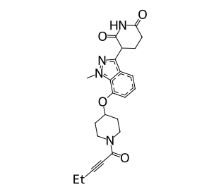 CCC#CC(=O)N1CCC(Oc2cccc3c(C4CCC(=O)NC4=O)nn(C)c23)CC1